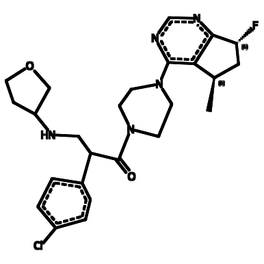 C[C@@H]1C[C@@H](F)c2ncnc(N3CCN(C(=O)C(CNC4CCOC4)c4ccc(Cl)cc4)CC3)c21